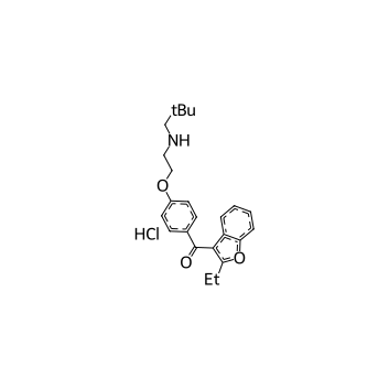 CCc1oc2ccccc2c1C(=O)c1ccc(OCCNCC(C)(C)C)cc1.Cl